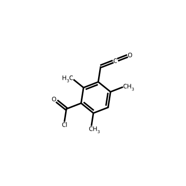 Cc1cc(C)c(C(=O)Cl)c(C)c1C=C=O